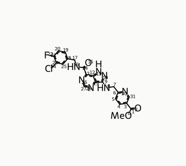 COC(=O)c1ccc(CNc2n[nH]c3c(C(=O)NCc4ccc(F)c(Cl)c4)ncnc23)nc1